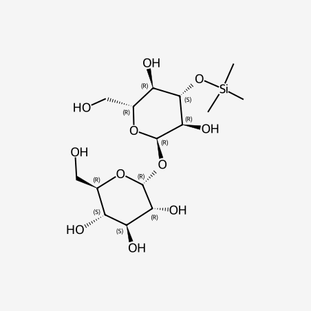 C[Si](C)(C)O[C@@H]1[C@@H](O)[C@@H](O[C@H]2O[C@H](CO)[C@@H](O)[C@H](O)[C@H]2O)O[C@H](CO)[C@H]1O